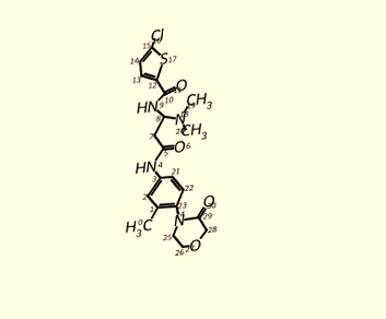 Cc1cc(NC(=O)CC(NC(=O)c2ccc(Cl)s2)N(C)C)ccc1N1CCOCC1=O